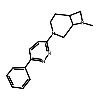 CN1CC2CCN(c3ccc(-c4ccccc4)nn3)CC21